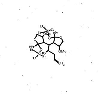 C=CCC(O)C(C1C(OC)COC1(CCC)O[Si](CC)(CC)CC)C1C(OC)COC1(CCC)O[Si](CC)(CC)CC